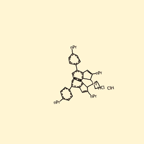 CCCC1=Cc2c(-c3ccc(CCC)cc3)cccc2[CH]1[Hf]1([CH]2C(CCC)=Cc3c(-c4ccc(CCC)cc4)cccc32)[CH2]C[CH2]1.Cl.Cl